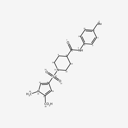 CCC(C)c1ccc(NC(=O)C2CCN(S(=O)(=O)c3cc(C(=O)O)n(C)c3)CC2)cc1